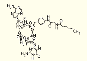 B[P@]1(=O)OC[C@H]2O[C@@H](n3cnc4c(N)ncnc43)[C@H](F)[C@@H]2OP(=O)(SCc2ccc(NC(=O)CNC(=O)CCCCC)cc2)OC[C@H]2O[C@@H](n3cnc4c(=O)[nH]c(N)nc43)[C@H](F)[C@@H]2O1